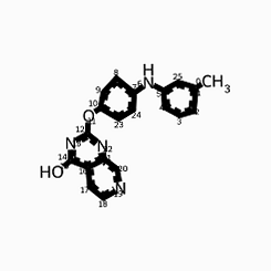 Cc1cccc(Nc2ccc(Oc3nc(O)c4ccncc4n3)cc2)c1